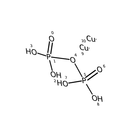 O=P(O)(O)OP(=O)(O)O.[Cu].[Cu]